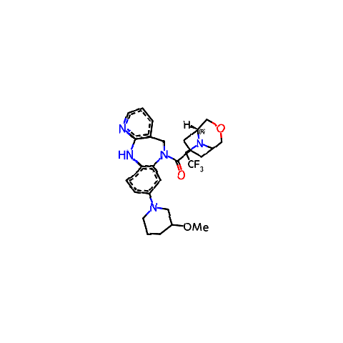 COC1CCCN(c2ccc3c(c2)N(C(=O)C2CC4COC[C@@H](C2)N4CC(F)(F)F)Cc2cccnc2N3)C1